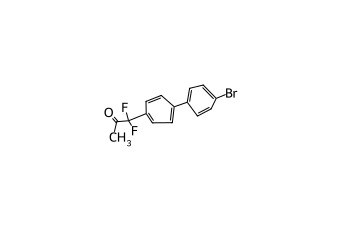 CC(=O)C(F)(F)c1ccc(-c2ccc(Br)cc2)cc1